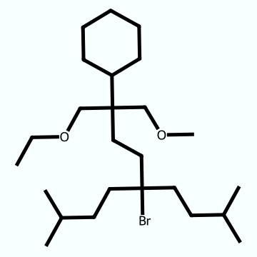 CCOCC(CCC(Br)(CCC(C)C)CCC(C)C)(COC)C1CCCCC1